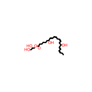 CC/C=C\C=C\C(O)C/C=C\C/C=C\C=C\C(O)CCCCCC(=O)OCC(O)CO